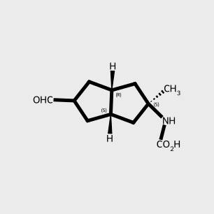 C[C@@]1(NC(=O)O)C[C@H]2CC(C=O)C[C@H]2C1